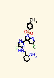 Cc1ccc(S(=O)(=O)n2cc(-c3ncc(F)c(NCC4CCCCC4N)n3)c3cc(Cl)cnc32)cc1